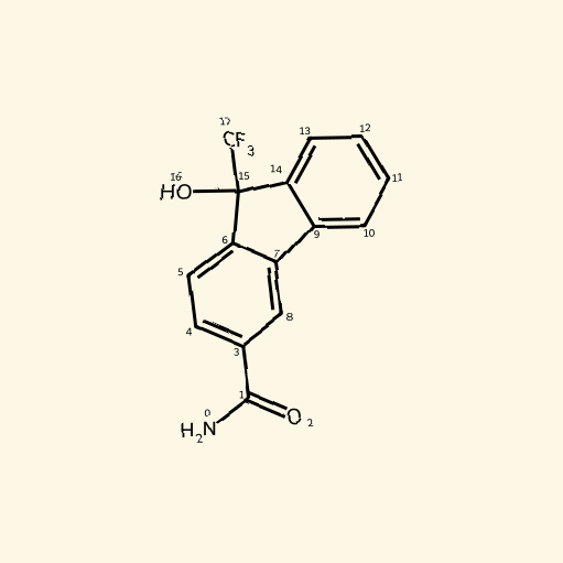 NC(=O)c1ccc2c(c1)-c1ccccc1C2(O)C(F)(F)F